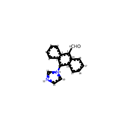 O=Cc1c2ccccc2c(-n2ccnc2)c2ccccc12